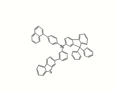 c1ccc(C2(c3ccccc3)c3ccccc3-c3ccc(N(c4ccc(-c5cccc6ccccc56)cc4)c4cccc(-c5ccc6c(c5)sc5ccccc56)c4)cc32)cc1